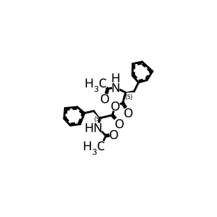 CC(=O)N[C@@H](Cc1ccccc1)C(=O)OC(=O)[C@H](Cc1ccccc1)NC(C)=O